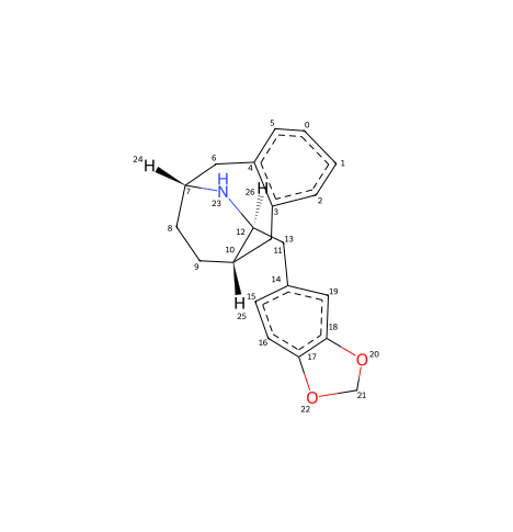 c1ccc2c(c1)C[C@H]1CC[C@@H](C2)[C@H](Cc2ccc3c(c2)OCO3)N1